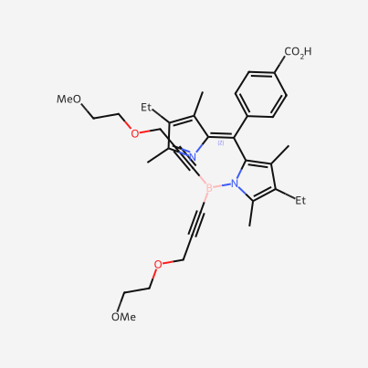 CCC1=C(C)/C(=C(\c2ccc(C(=O)O)cc2)c2c(C)c(CC)c(C)n2B(C#CCOCCOC)C#CCOCCOC)N=C1C